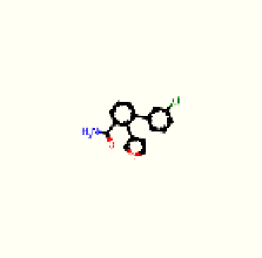 NC(=O)c1cccc(-c2cccc(Cl)c2)c1-c1ccoc1